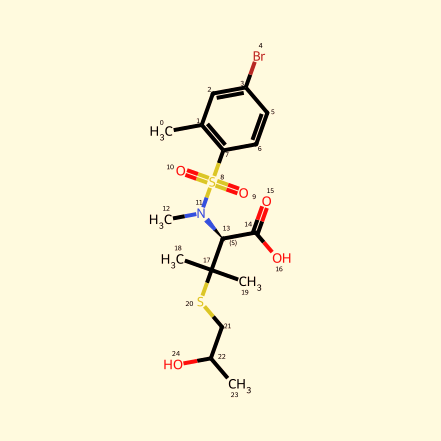 Cc1cc(Br)ccc1S(=O)(=O)N(C)[C@@H](C(=O)O)C(C)(C)SCC(C)O